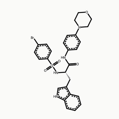 O=C(Nc1ccc(N2CCOCC2)cc1)[C@H](Cc1c[nH]c2ccccc12)NS(=O)(=O)c1ccc(Br)cc1